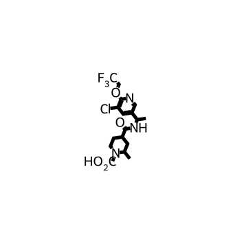 CC(NC(=O)C1CCN(C(=O)O)C(C)C1)c1cnc(OCC(F)(F)F)c(Cl)c1